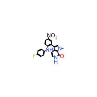 Cn1cc(-c2cc([N+](=O)[O-])ccc2Nc2ccc(F)cc2)c2cc[nH]c(=O)c21